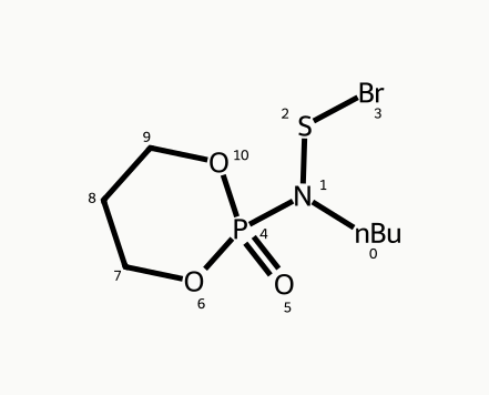 CCCCN(SBr)P1(=O)OCCCO1